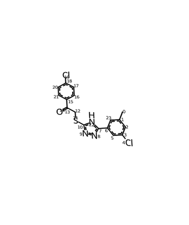 Cc1cc(Cl)cc(-c2nnc(SCC(=O)c3ccc(Cl)cc3)[nH]2)c1